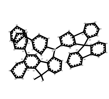 CC1(C)c2cccc(N(c3ccc(-c4ccccc4)cc3)c3ccc4c(c3)C3(c5ccccc5-c5ccccc53)c3ccccc3-4)c2-c2cc(-c3ccccc3)c3ccccc3c21